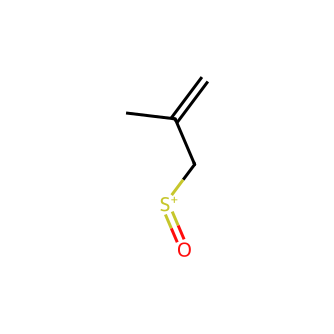 C=C(C)C[S+]=O